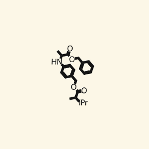 CC(Nc1ccc(COC(=O)C(C)C(C)C)cc1)C(=O)OCc1ccccc1